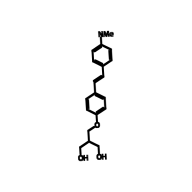 CNc1ccc(C=Cc2ccc(OCC(CO)CO)cc2)cc1